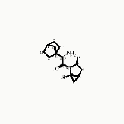 CC1CC2C[C@@H]2N1C(=O)[C@@H](N)C12CCC(CC1)C2